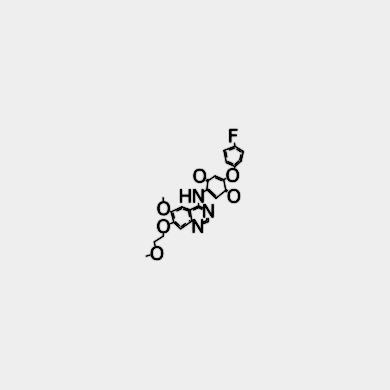 COCCOc1cc2ncnc(NC3=CC(=O)C(Oc4ccc(F)cc4)=CC3=O)c2cc1OC